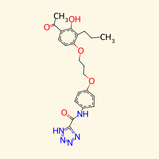 CCCc1c(OCCCOc2ccc(NC(=O)c3nnn[nH]3)cc2)ccc(C(C)=O)c1O